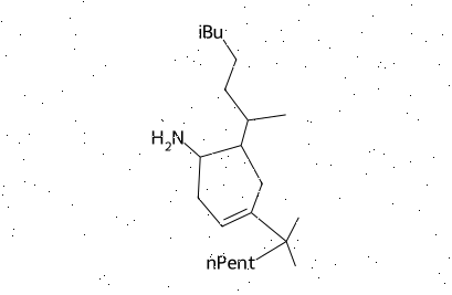 CCCCCC(C)(C)C1=CCC(N)C(C(C)CCC(C)CC)C1